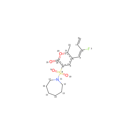 C=C/C(F)=C\c1cc(S(=O)(=O)N2CCCCCC2)c(=O)oc1C